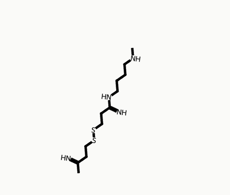 CNCCCCNC(=N)CCSSCCC(C)=N